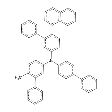 Cc1ccc(N(c2ccc(-c3ccccc3)cc2)c2ccc(-c3cccc4ccccc34)c(-c3ccccc3)c2)cc1-c1ccccc1